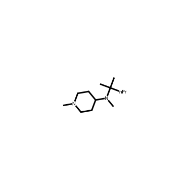 CCCC(C)(C)N(C)C1CCN(C)CC1